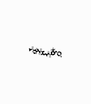 C=C(NC(=O)c1csc2c(NC3CC3)ncnc12)/C(C)=C\C=C(/C)C(=O)Nc1ccc(CN2CCCN(C)CC2)c(C(F)(F)F)c1